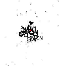 [2H]C(Nc1cc(Cl)c2ncc(C#N)c(NC(C)(C)C(C)C)c2c1)(c1cn(C2CC2)nn1)c1ccccc1Cl